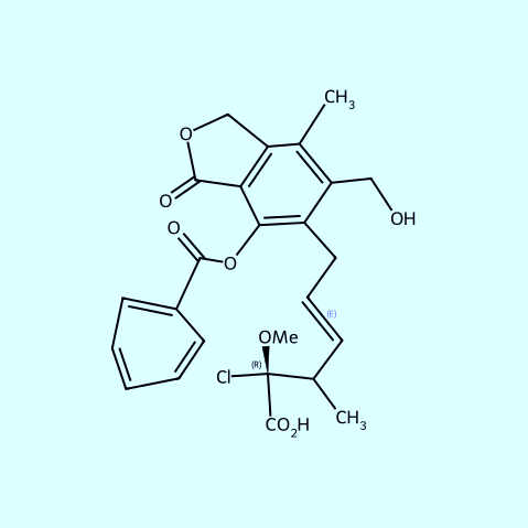 CO[C@](Cl)(C(=O)O)C(C)/C=C/Cc1c(CO)c(C)c2c(c1OC(=O)c1ccccc1)C(=O)OC2